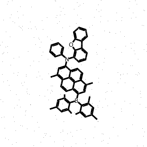 Cc1cc(C)c(B(c2c(C)cc(C)cc2C)c2cc(C)c3ccc4c(N(c5ccccc5)c5cccc6c5oc5ccccc56)cc(C)c5ccc2c3c54)c(C)c1